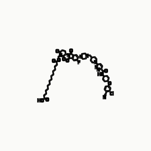 N#Cc1ccc(OC2CCC(NC(=O)c3ccc(N4CCC(CN5CCN(c6cc7c(cc6F)C(=O)N(C6CCC(=O)N(COC(=O)CCCCCCCCCCCCCCC(=O)O)C6=O)C7=O)CC5)CC4)nn3)CC2)cc1Cl